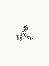 O=[N+]([O-])c1cc([C@H]2CC[C@H](c3ccc(Cl)c([N+](=O)[O-])c3)N2c2cc(F)c(N3CCC4(CCCC4)CC3)c(F)c2)ccc1Cl